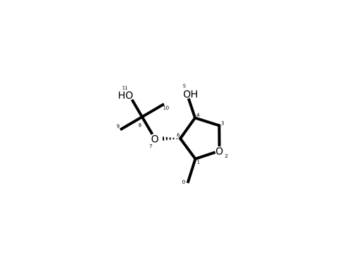 CC1OCC(O)[C@H]1OC(C)(C)O